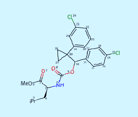 COC(=O)[C@H](CC(C)C)NC(=O)OC(c1ccc(Cl)cc1)C1(c2cccc(Cl)c2)CC1